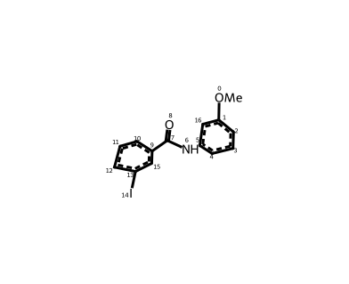 COc1cccc(NC(=O)c2cccc(I)c2)c1